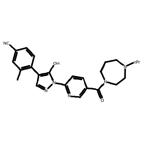 CCCN1CCCN(C(=O)c2ccc(-n3ncc(-c4ccc(C#N)cc4C)c3O)nc2)CC1